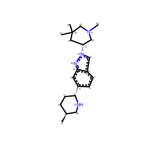 C[C@H]1CC[C@H](c2ccc3cn([C@H]4CN(C)CC(C)(C)C4)nc3c2)NC1